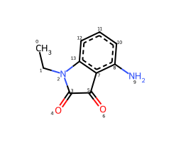 CCN1C(=O)C(=O)c2c(N)cccc21